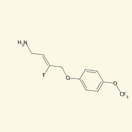 NCC=C(F)COc1ccc(OC(F)(F)F)cc1